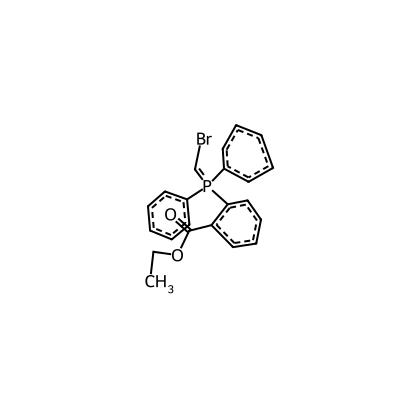 CCOC(=O)c1ccccc1P(=CBr)(c1ccccc1)c1ccccc1